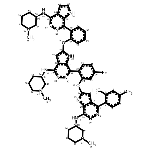 Cc1cc(C(F)(F)F)ccc1-c1nnc(N[C@@H]2CCCN(C)C2)c2[nH]c(Oc3cc(F)ccc3-c3nnc(N[C@@H]4CCCN(C)C4)c4cc(Oc5ccccc5-c5nnc(N[C@@H]6CCCN(C)C6)c6cc[nH]c56)[nH]c34)cc12